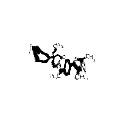 C=CC[C@]1(c2ccc(F)cc2)CCN([C@@H](C)c2ccc(-c3sc(C)nc3C)cc2)C(=O)C1